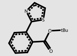 CC(C)(C)OC(=O)c1ccccc1-c1nccs1